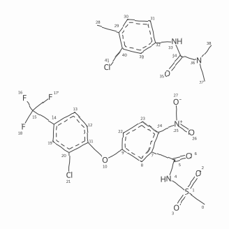 CS(=O)(=O)NC(=O)c1cc(Oc2ccc(C(F)(F)F)cc2Cl)ccc1[N+](=O)[O-].Cc1ccc(NC(=O)N(C)C)cc1Cl